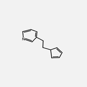 C1=CC(CCc2cccnc2)C=C1